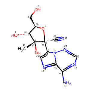 C[C@@]1(O)[C@H](O)[C@@H](CO)O[C@@]1(C#N)c1cnc2c(N)ncnn12